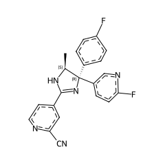 C[C@@H]1NC(c2ccnc(C#N)c2)=N[C@]1(c1ccc(F)cc1)c1ccc(F)nc1